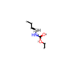 CCC=[SiH]NC(=O)OCC